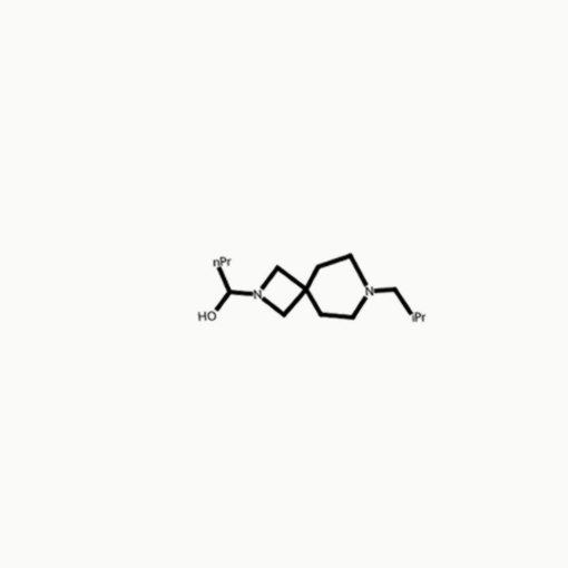 CCCC(O)N1CC2(CCN(CC(C)C)CC2)C1